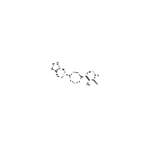 N#Cc1c(N2CCCN(c3ccc4ncoc4c3)CC2)cc[nH]c1=S